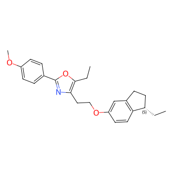 CCc1oc(-c2ccc(OC)cc2)nc1CCOc1ccc2c(c1)CC[C@@H]2CC